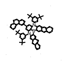 CC(C)(C)c1cc(N2c3cc4cc5ccccc5cc4cc3B3c4cc5cc6ccccc6cc5cc4N(c4cc(C(C)(C)C)cc(C(C)(C)C)c4)c4cc(-c5ccc6ccc7ccccc7c6c5)cc2c43)cc(C(C)(C)C)c1